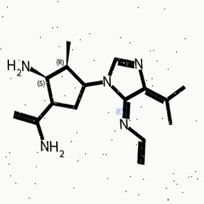 C=C/N=C1\C(=C(C)C)N=CN1C1CC(C(=C)N)[C@@H](N)[C@H]1C